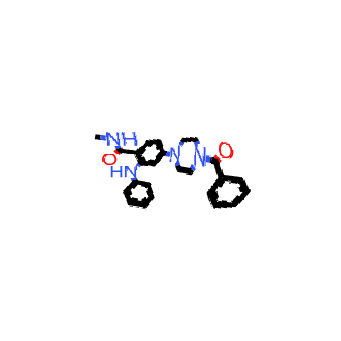 CNC(=O)c1ccc(N2CCN(C(=O)c3ccccc3)CC2)cc1Nc1ccccc1